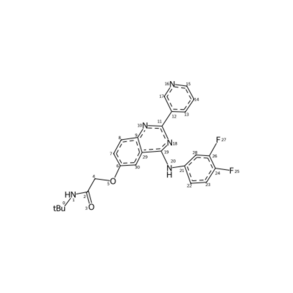 CC(C)(C)NC(=O)COc1ccc2nc(-c3cccnc3)nc(Nc3ccc(F)c(F)c3)c2c1